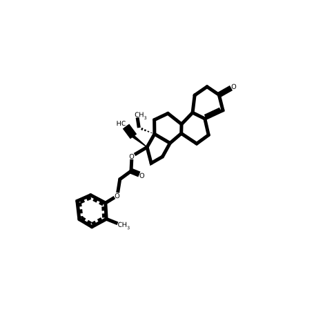 C#C[C@]1(OC(=O)COc2ccccc2C)CCC2C3CCC4=CC(=O)CCC4C3CC[C@@]21CC